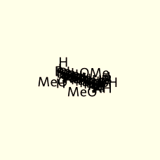 COCCNB(B(I)B(I)BBB(I)I)B(I)B(I)B(I)B(I)B(I)B(I)N(CCOC)B(I)B(I)B(I)B(I)B(I)B(I)B(NCCOC)B(I)B(I)BBB(I)I